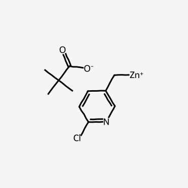 CC(C)(C)C(=O)[O-].Clc1ccc([CH2][Zn+])cn1